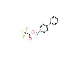 O=C(ONc1ccc(-c2ccccc2)cc1)C(F)(F)F